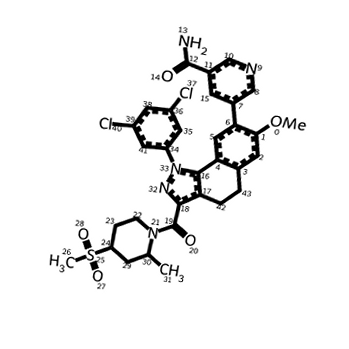 COc1cc2c(cc1-c1cncc(C(N)=O)c1)-c1c(c(C(=O)N3CCC(S(C)(=O)=O)CC3C)nn1-c1cc(Cl)cc(Cl)c1)CC2